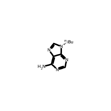 CC[C@@H](C)n1cnc2c(N)ncnc21